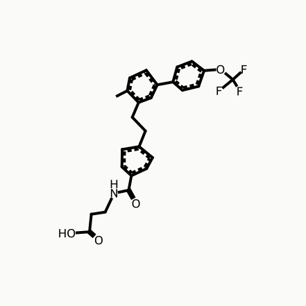 Cc1ccc(-c2ccc(OC(F)(F)F)cc2)cc1CCc1ccc(C(=O)NCCC(=O)O)cc1